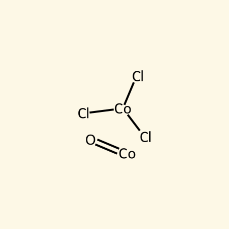 [Cl][Co]([Cl])[Cl].[O]=[Co]